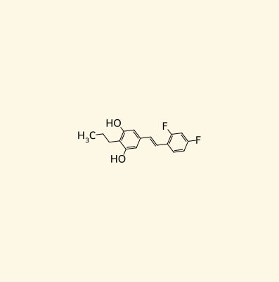 CCCc1c(O)cc(C=Cc2ccc(F)cc2F)cc1O